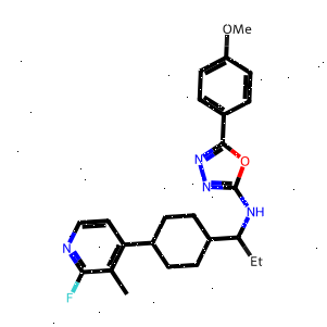 CCC(Nc1nnc(-c2ccc(OC)cc2)o1)C1CCC(c2ccnc(F)c2C)CC1